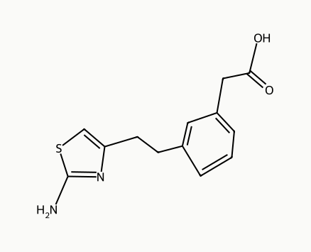 Nc1nc(CCc2cccc(CC(=O)O)c2)cs1